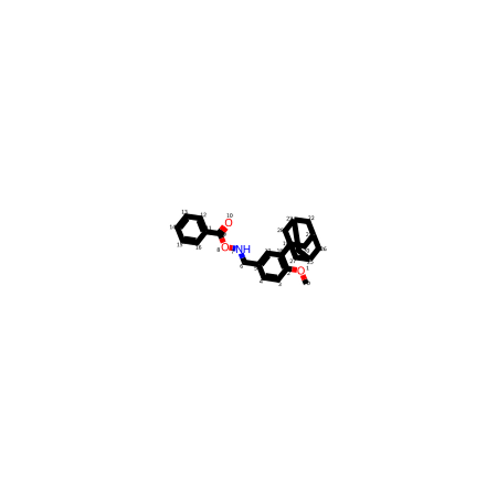 COc1ccc(CNOC(=O)c2ccccc2)cc1C12CC3CC(CC(C3)C1)C2